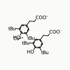 CC(C)(C)c1cc(CCC(=O)[O-])cc(C(C)(C)C)c1O.CC(C)(C)c1cc(CCC(=O)[O-])cc(C(C)(C)C)c1O.[Cu+2]